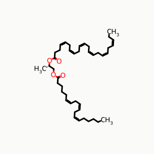 CC/C=C\C/C=C\C/C=C\C/C=C\C/C=C\C/C=C\CCC(=O)O[C@@H](C)COC(=O)CCCC/C=C\C/C=C\C/C=C\CCCCC